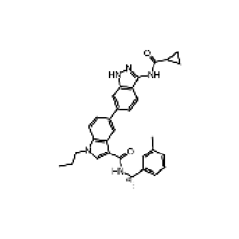 CCCn1cc(C(=O)N[C@@H](C)c2cccc(C)c2)c2cc(-c3ccc4c(NC(=O)C5CC5)n[nH]c4c3)ccc21